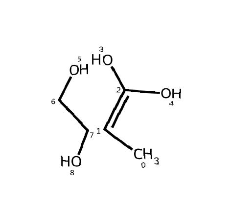 CC=C(O)O.OCCO